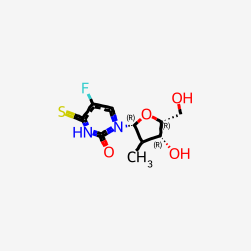 CC1[C@@H](O)[C@@H](CO)O[C@H]1n1cc(F)c(=S)[nH]c1=O